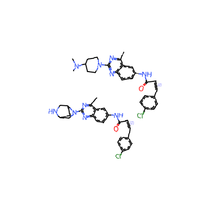 Cc1nc(N2CC3CC2CN3)nc2ccc(NC(=O)/C=C\c3ccc(Cl)cc3)cc12.Cc1nc(N2CCC(N(C)C)CC2)nc2ccc(NC(=O)/C=C\c3ccc(Cl)cc3)cc12